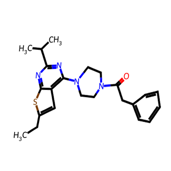 CCc1cc2c(N3CCN(C(=O)Cc4ccccc4)CC3)nc(C(C)C)nc2s1